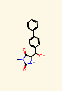 CN1C(=O)NC(C(O)c2ccc(-c3ccccc3)cc2)C1=O